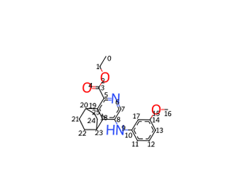 CCOC(=O)c1ncc(Nc2cccc(OC)c2)c2c1C1CCC2CC1